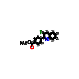 COC(=O)c1ccc(-c2nc3ccccc3cc2F)cc1